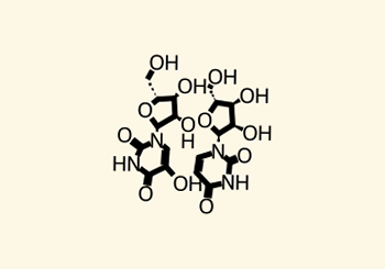 O=c1[nH]c(=O)n([C@@H]2O[C@H](CO)[C@@H](O)[C@H]2O)cc1O.O=c1ccn([C@@H]2O[C@H](CO)[C@@H](O)[C@H]2O)c(=O)[nH]1